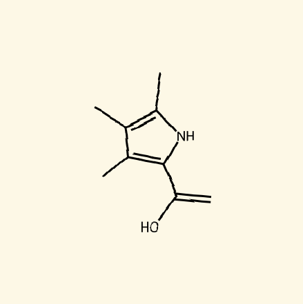 C=C(O)c1[nH]c(C)c(C)c1C